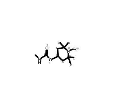 CNC(=O)OC1CC(C)(C)N(O)C(C)(C)C1